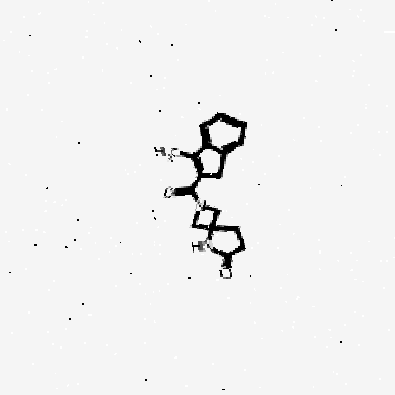 CC1=C(C(=O)N2CC3(CCC(=O)N3)C2)Cc2ccccc21